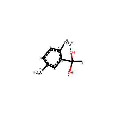 CC(O)(O)c1cc(C(=O)O)ccc1C(=O)O